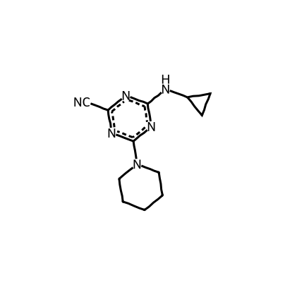 N#Cc1nc(NC2CC2)nc(N2CCCCC2)n1